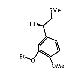 CCOc1cc([C@@H](O)CSC)ccc1OC